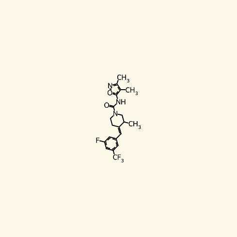 Cc1noc(NC(=O)N2CCC(=Cc3cc(F)cc(C(F)(F)F)c3)C(C)C2)c1C